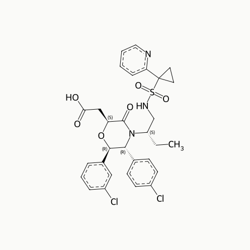 CC[C@@H](CNS(=O)(=O)C1(c2ccccn2)CC1)N1C(=O)[C@H](CC(=O)O)O[C@H](c2cccc(Cl)c2)[C@H]1c1ccc(Cl)cc1